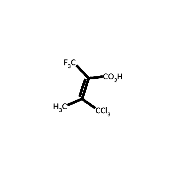 C/C(=C(/C(=O)O)C(F)(F)F)C(Cl)(Cl)Cl